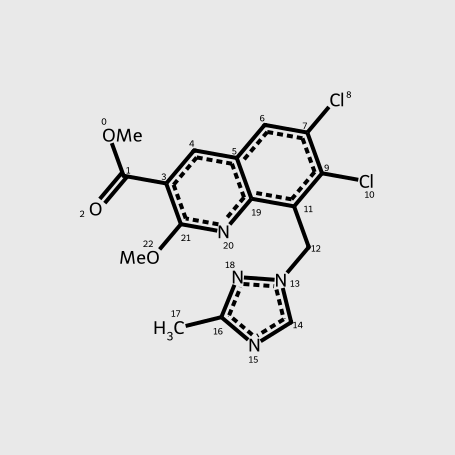 COC(=O)c1cc2cc(Cl)c(Cl)c(Cn3cnc(C)n3)c2nc1OC